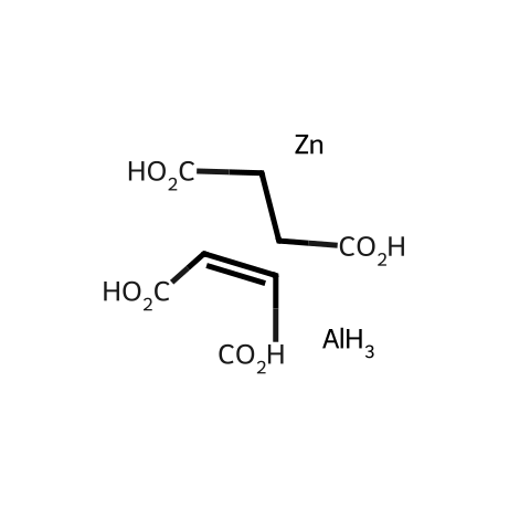 O=C(O)/C=C\C(=O)O.O=C(O)CCC(=O)O.[AlH3].[Zn]